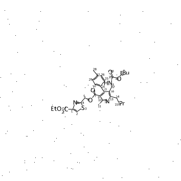 CCOC(=O)c1csc(COC(=O)c2c(C)nc(CC(C)C)c(CNC(=O)OC(C)(C)C)c2-c2ccc(C)cc2)n1